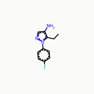 CCc1c(N)cnn1-c1ccc(F)cc1